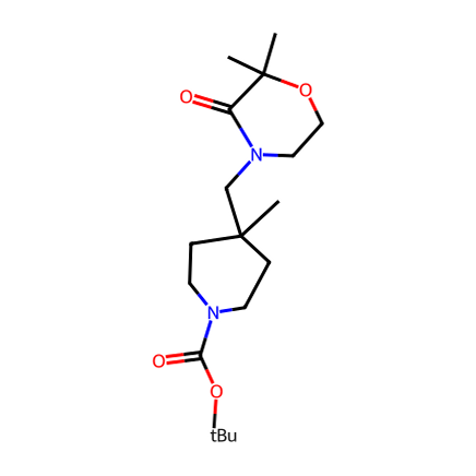 CC1(CN2CCOC(C)(C)C2=O)CCN(C(=O)OC(C)(C)C)CC1